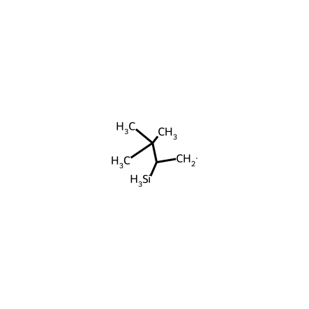 [CH2]C([SiH3])C(C)(C)C